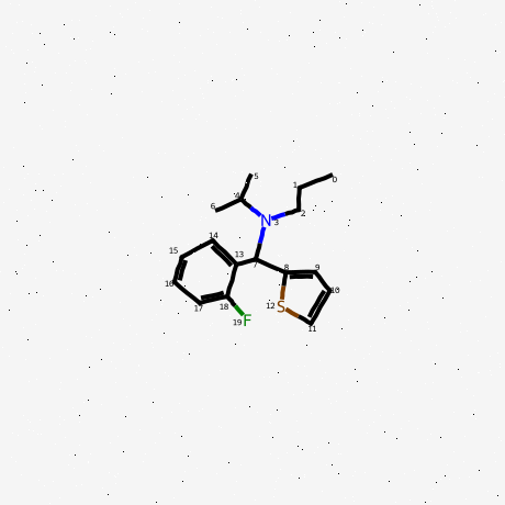 CCCN(C(C)C)C(c1cccs1)c1ccccc1F